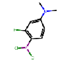 CN(C)c1ccc(P(Cl)Cl)c(F)c1